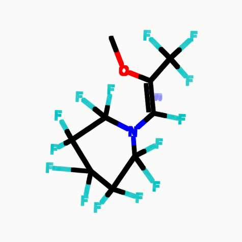 CO/C(=C(/F)N1C(F)(F)C(F)(F)C(F)(F)C(F)(F)C1(F)F)C(F)(F)F